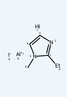 CCc1nccn1C.I.[Al+].[I-]